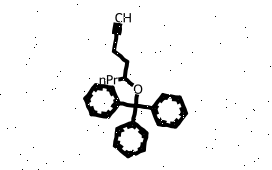 C#CCCC(CCC)OC(c1ccccc1)(c1ccccc1)c1ccccc1